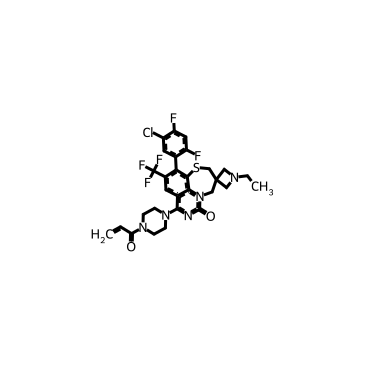 C=CC(=O)N1CCN(c2nc(=O)n3c4c(c(-c5cc(Cl)c(F)cc5F)c(C(F)(F)F)cc24)SCC2(CN(CC)C2)C3)CC1